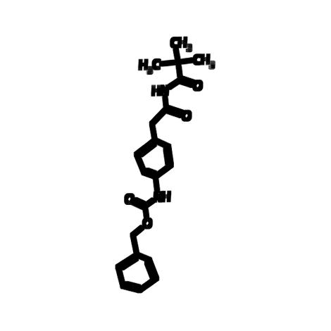 CC(C)(C)C(=O)NC(=O)Cc1ccc(NC(=O)OCc2ccccc2)cc1